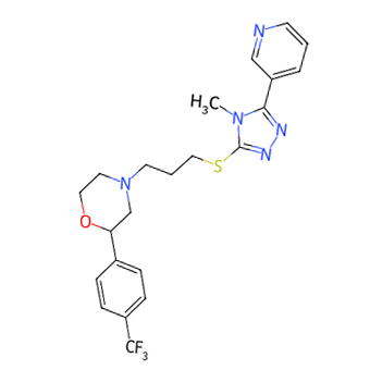 Cn1c(SCCCN2CCOC(c3ccc(C(F)(F)F)cc3)C2)nnc1-c1cccnc1